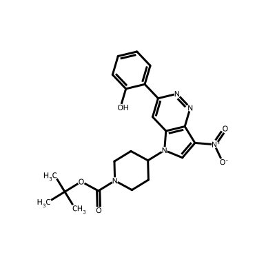 CC(C)(C)OC(=O)N1CCC(n2cc([N+](=O)[O-])c3nnc(-c4ccccc4O)cc32)CC1